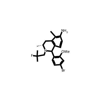 COc1cc(Br)ccc1C1c2ccc(N)c(C)c2C[C@@H](C)N1CC(C)(C)F